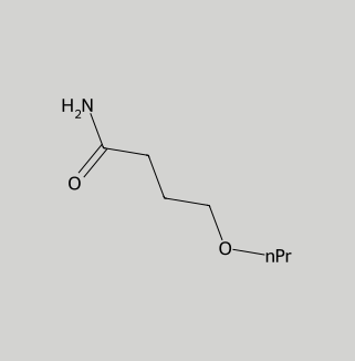 [CH2]CCOCCCC(N)=O